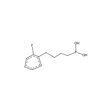 OP(O)CCCCc1ccccc1F